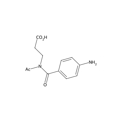 CC(=O)N(CCC(=O)O)C(=O)c1ccc(N)cc1